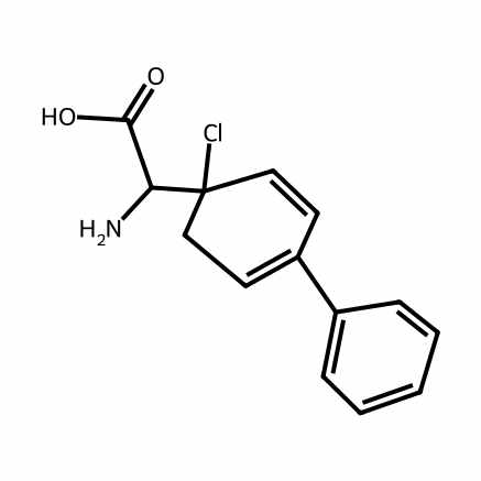 NC(C(=O)O)C1(Cl)C=CC(c2ccccc2)=CC1